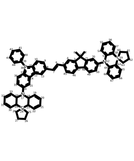 CC1(C)c2cc(/C=C/c3ccc4c(c3)c3cc(N5C6C=CC=CC6[Si]6(CCCC6)C6C=CC=CC65)ccc3p4-c3ccccc3)ccc2-c2ccc(N3c4ccccc4S4(CCCC4)c4ccccc43)cc21